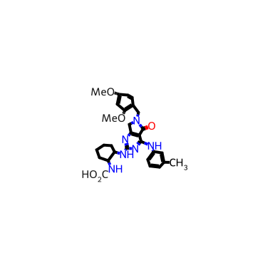 COc1ccc(CN2Cc3nc(NC4CCCCC4NC(=O)O)nc(Nc4cccc(C)c4)c3C2=O)c(OC)c1